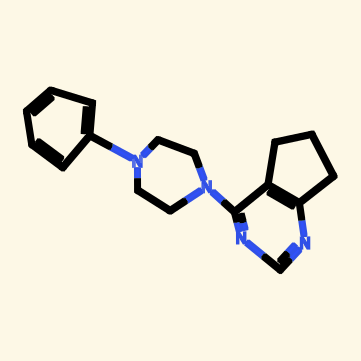 c1ccc(N2CCN(c3ncnc4c3CCC4)CC2)cc1